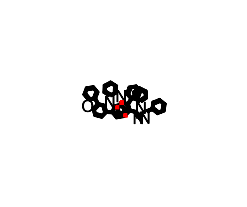 c1ccc(-c2nnc(-c3cccc4c3c3ccccc3n4-c3ccccc3-n3c4ccccc4c4ccc5oc6ccccc6c5c43)n2-c2ccccc2)cc1